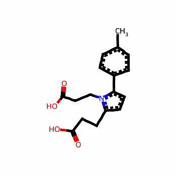 Cc1ccc(-c2ccc(CCC(=O)O)n2CCC(=O)O)cc1